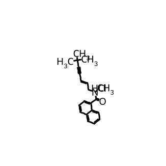 CN(C/C=C/C#CC(C)(C)C)C(=O)c1cccc2ccccc12.Cl